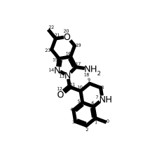 Cc1cccc2c1NCCC2C(=O)n1nc2c(c1N)COC(C)C2